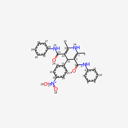 CC1=C(C(=O)Nc2ccccc2)C(c2ccc([N+](=O)[O-])cc2)C(C(=O)Nc2ccccc2)=C(C)N1